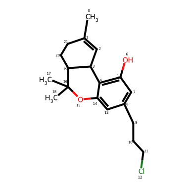 CC1=CC2c3c(O)cc(CCCCl)cc3OC(C)(C)C2CC1